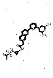 C[C@@H]1CN(c2cccc(-c3ccc4cnc(CC(=O)N[C@H]5C[C@@H]5NS(=O)(=O)C(F)F)cc4n3)n2)C[C@H](C)O1